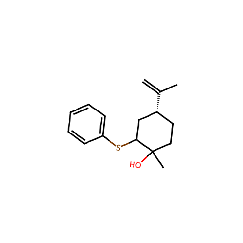 C=C(C)[C@@H]1CCC(C)(O)C(Sc2ccccc2)C1